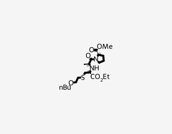 CCCCOCCSC[C@H](N[C@@H](C)C(=O)N1CCC[C@H]1C(=O)OC)C(=O)OCC